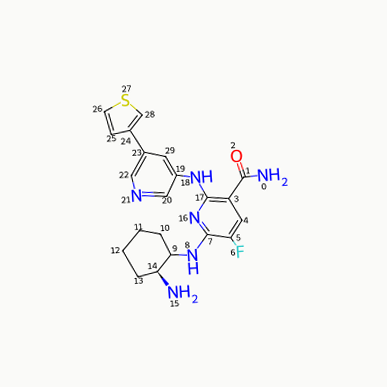 NC(=O)c1cc(F)c(NC2CCCC[C@@H]2N)nc1Nc1cncc(-c2ccsc2)c1